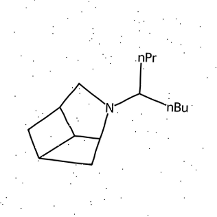 CCCCC(CCC)N1CC2CC3CC1C32